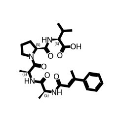 CC(=CC(=O)N[C@@H](C)C(=O)N[C@@H](C)C(=O)N1CCC[C@H]1C(=O)N[C@H](C(=O)O)C(C)C)c1ccccc1